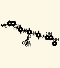 CCCOc1ccc2ccc(NC(=O)c3cc(C)c(N=Nc4cc(OCCCS(=O)(=O)O)c(N=Nc5cc(C)c(N=Nc6ccc7cc(Nc8ccccc8)ccc7c6O)cc5C)cc4C)cc3C)cc2c1